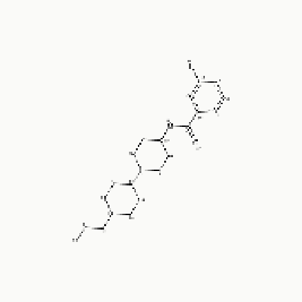 CCCC1CCC(C2CCC(OC(=O)c3cccc(F)c3)CC2)CC1